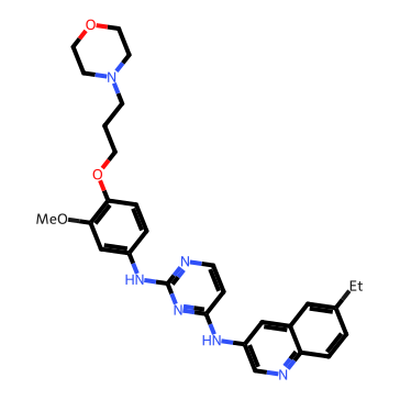 CCc1ccc2ncc(Nc3ccnc(Nc4ccc(OCCCN5CCOCC5)c(OC)c4)n3)cc2c1